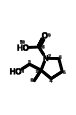 CC1(CO)CCCN1C(=O)O